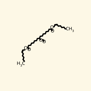 CCCCCC/C=C\COC(=O)CCCCCCCC(CCCCCCCC(=O)OC/C=C\CCCCCC)OC=O